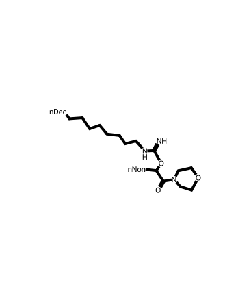 CCCCCCCCCCCCCCCCCCNC(=N)OC(CCCCCCCCC)C(=O)N1CCOCC1